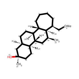 COC[C@@H]1CCCC[C@H]2[C@@H]3CC[C@@H]4C[C@](C)(O)CC[C@@H]4[C@H]3C[C@H](C)[C@H]12